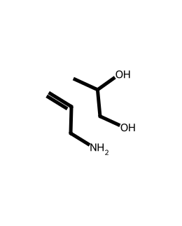 C=CCN.CC(O)CO